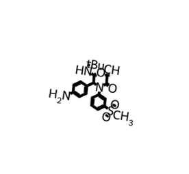 C#CC(=O)N(c1cccc(S(C)(=O)=O)c1)C(C(=O)NC(C)(C)C)c1ccc(N)cc1